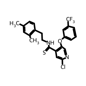 Cc1ccc(CCNC(=S)c2cc(Cl)ncc2Oc2cccc(C(F)(F)F)c2)c(C)c1